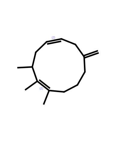 C=C1C/C=C\CC(C)/C(C)=C(/C)CCC1